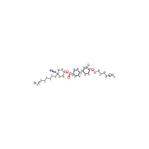 CCCCCCCC1(C#N)CCC(OC(=O)c2ccc(-c3ccc(OCCCCCC)c(F)c3)cc2)CC1